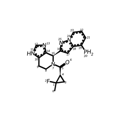 CC1(F)C[C@@H]1C(=O)N1CCc2[nH]cnc2[C@H]1c1cc2c(P)cccn2n1